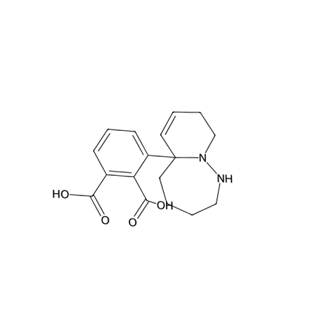 O=C(O)c1cccc(C23C=CCCN2NCCCC3)c1C(=O)O